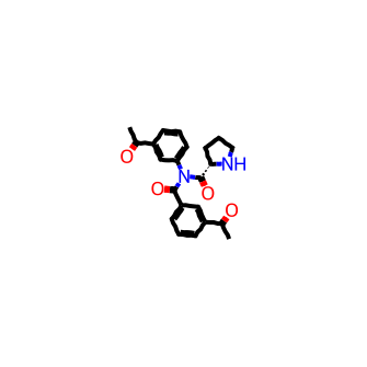 CC(=O)c1cccc(C(=O)N(C(=O)[C@@H]2CCCN2)c2cccc(C(C)=O)c2)c1